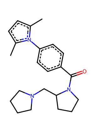 Cc1ccc(C)n1-c1ccc(C(=O)N2CCCC2CN2CCCC2)cc1